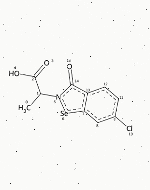 CC(C(=O)O)n1[se]c2cc(Cl)ccc2c1=O